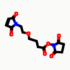 O=C(CCCOCCN1C(=O)C=CC1=O)ON1C(=O)CCC1=O